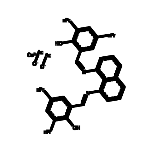 CC(=O)[O-].CC(=O)[O-].CCCc1cc(C=Nc2cccc3cccc(N=Cc4cc(CCC)cc(CCC)c4O)c23)c(O)c(CCC)c1.[Co+2]